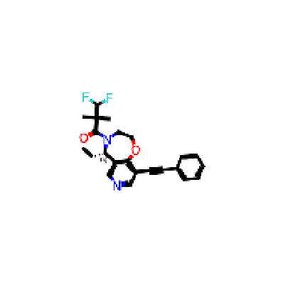 CC[C@H]1c2cncc(C#Cc3ccccc3)c2OCCN1C(=O)C(C)(C)C(F)F